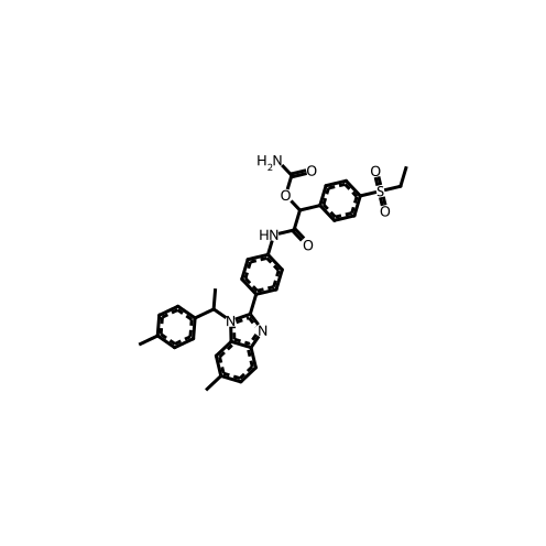 CCS(=O)(=O)c1ccc(C(OC(N)=O)C(=O)Nc2ccc(-c3nc4ccc(C)cc4n3C(C)c3ccc(C)cc3)cc2)cc1